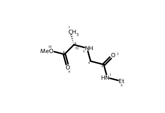 CCNC(=O)CN[C@@H](C)C(=O)OC